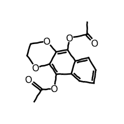 CC(=O)Oc1c2c(c(OC(C)=O)c3ccccc13)OCCO2